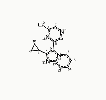 Clc1cncc(-c2c(C3CC3)nc3ccccn23)n1